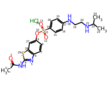 CC(=O)Nc1nc2ccc(OS(=O)(=O)c3ccc(NCCNC(C)C)cc3)cc2s1.Cl